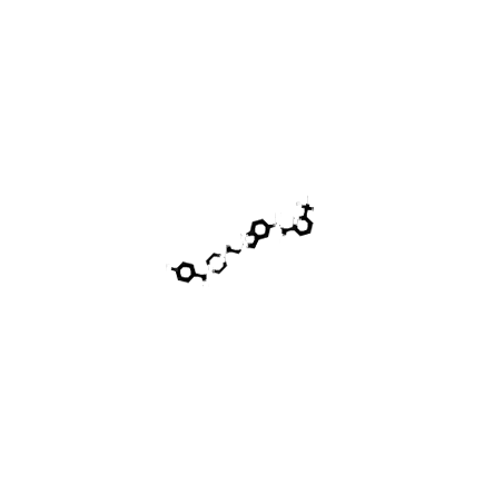 O=C(Nc1ccc2nn(CC(=O)N3CCN(C(=O)c4ccc(F)cc4)CC3)cc2c1)c1cccc(C(F)(F)F)n1